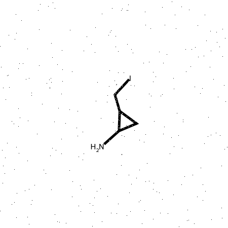 NC1CC1CI